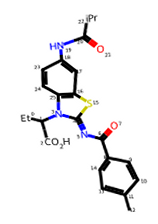 CCC(C(=O)O)n1c(=NC(=O)c2ccc(C)cc2)sc2cc(NC(=O)C(C)C)ccc21